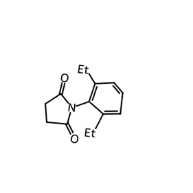 CCc1cccc(CC)c1N1C(=O)CCC1=O